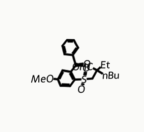 CCCCC(C=O)(CC)CS(=O)(=O)c1ccc(OC)cc1C(=O)c1ccccc1